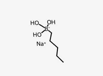 CCCCC[B-](O)(O)O.[Na+]